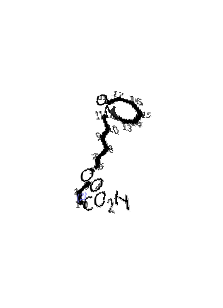 O=C(O)/C=C\C(=O)OCCCCCCN1CCCCCC1=O